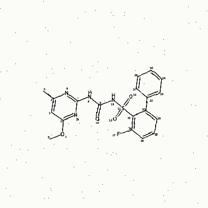 COc1cc(C)nc(NC(=O)NS(=O)(=O)c2c(F)cccc2-c2ccccc2)n1